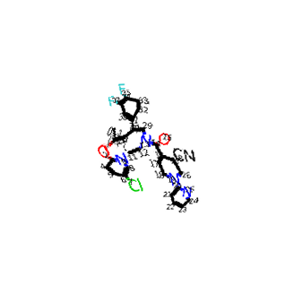 C[C@H](Oc1ccc(Cl)cn1)[C@H]1CCN(C(=O)C2CCN(c3ccccn3)CC2C#N)C[C@@H]1c1ccc(F)c(F)c1